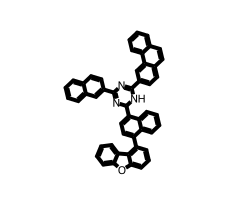 c1ccc2cc(C3=NC(c4ccc(-c5cccc6oc7ccccc7c56)c5ccccc45)NC(c4ccc5ccc6ccccc6c5c4)=N3)ccc2c1